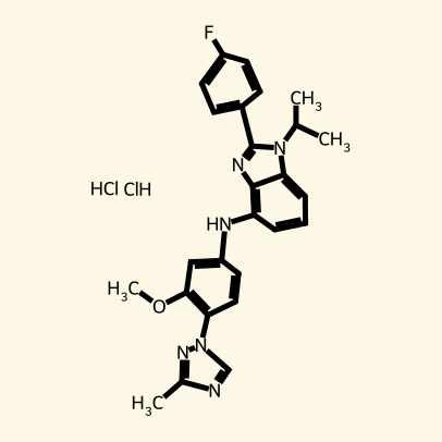 COc1cc(Nc2cccc3c2nc(-c2ccc(F)cc2)n3C(C)C)ccc1-n1cnc(C)n1.Cl.Cl